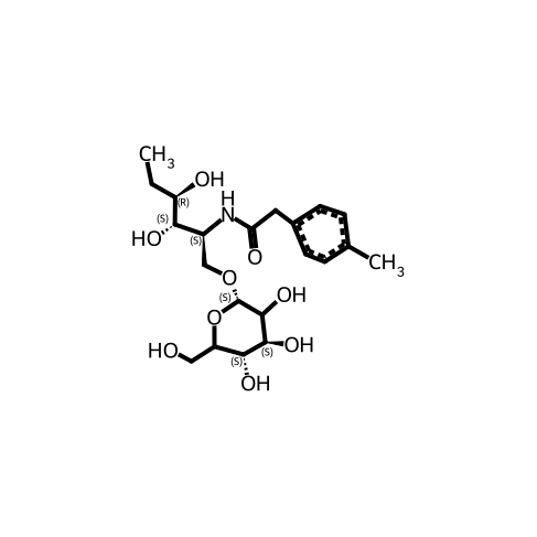 CC[C@@H](O)[C@@H](O)[C@H](CO[C@H]1OC(CO)[C@@H](O)[C@H](O)C1O)NC(=O)Cc1ccc(C)cc1